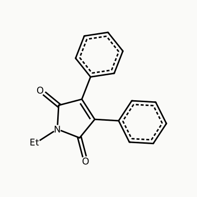 CCN1C(=O)C(c2ccccc2)=C(c2ccccc2)C1=O